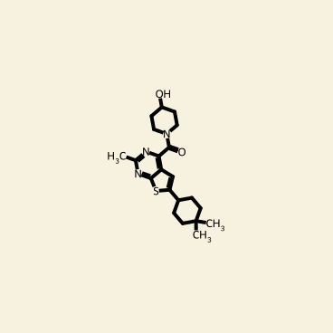 Cc1nc(C(=O)N2CCC(O)CC2)c2cc(C3CCC(C)(C)CC3)sc2n1